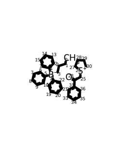 CCCC[B-](c1ccccc1)(c1ccccc1)c1ccccc1.O=C(C[S+]1CCCC1)c1ccccc1